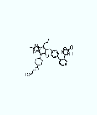 CCCc1c(Cc2ccc(-c3ccccc3-c3noc(=O)[nH]3)cc2)c(=O)n([C@H]2CC[C@H](OCCO)CC2)c2nc(C)nn12